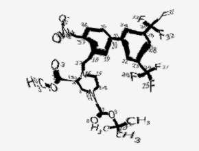 COC(=O)[C@@H]1CN(C(=O)OC(C)(C)C)CCN1Cc1cc(-c2cc(C(F)(F)F)cc(C(F)(F)F)c2)ccc1[N+](=O)[O-]